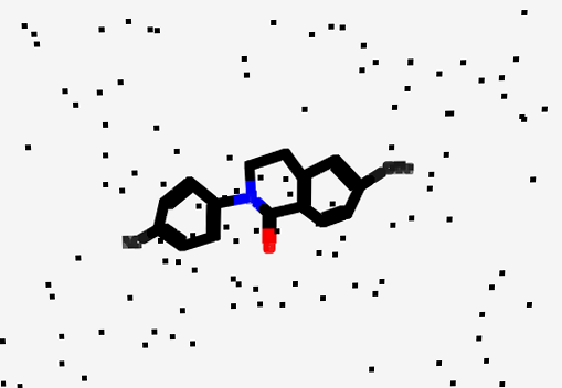 COc1ccc2c(c1)CCN(c1ccc(C#N)cc1)C2=O